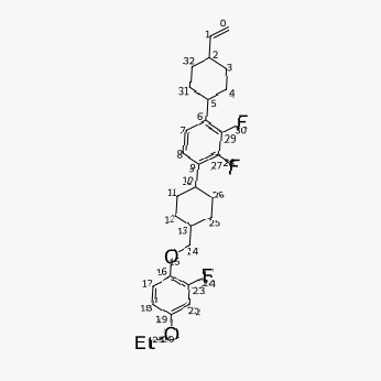 C=CC1CCC(c2ccc(C3CCC(COc4ccc(OCC)cc4F)CC3)c(F)c2F)CC1